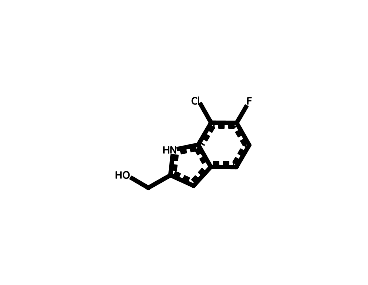 OCc1cc2ccc(F)c(Cl)c2[nH]1